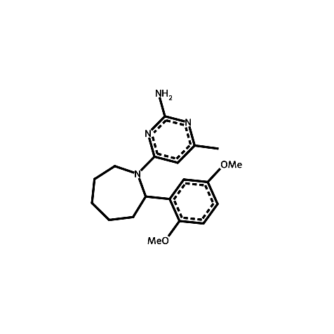 COc1ccc(OC)c(C2CCCCCN2c2cc(C)nc(N)n2)c1